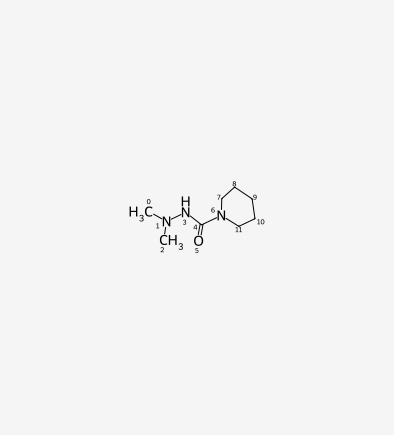 CN(C)NC(=O)N1CCCCC1